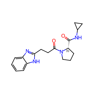 O=C(NC1CC1)[C@@H]1CCCN1C(=O)CCc1nc2ccccc2[nH]1